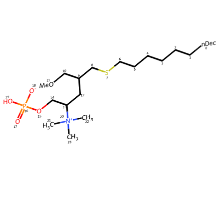 CCCCCCCCCCCCCCCCSCC(COC)CC(COP(=O)([O-])O)[N+](C)(C)C